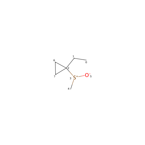 CCC1([S+](C)[O-])CC1